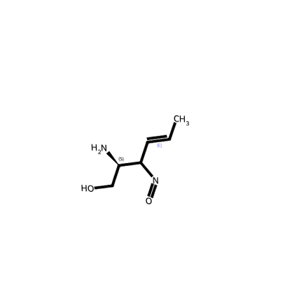 C/C=C/C(N=O)[C@H](N)CO